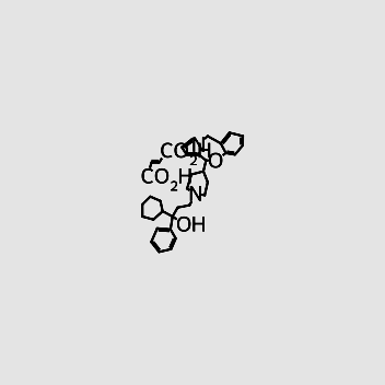 O=C(O)C=CC(=O)O.OC(CCN1CCC(C2Oc3ccccc3Cn3cccc32)CC1)(c1ccccc1)C1CCCCC1